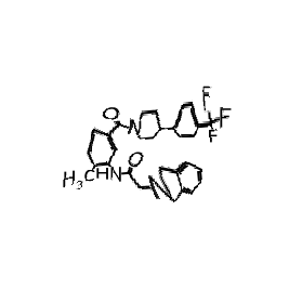 Cc1ccc(C(=O)N2CCC(c3ccc(C(F)(F)F)cc3)CC2)cc1NC(=O)CN1Cc2ccccc2C1